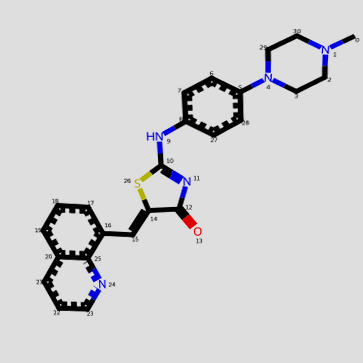 CN1CCN(c2ccc(NC3=NC(=O)C(=Cc4cccc5cccnc45)S3)cc2)CC1